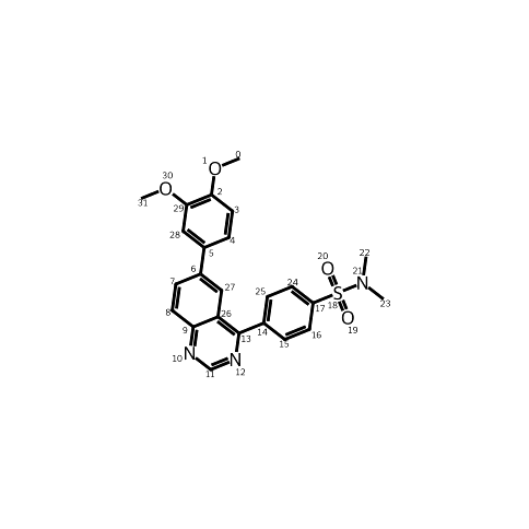 COc1ccc(-c2ccc3ncnc(-c4ccc(S(=O)(=O)N(C)C)cc4)c3c2)cc1OC